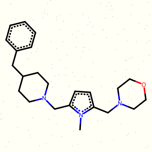 Cn1c(CN2CCOCC2)ccc1CN1CCC(Cc2ccccc2)CC1